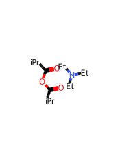 CC(C)C(=O)OC(=O)C(C)C.CCN(CC)CC